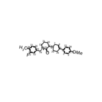 COc1ccc(C2=CCN(C3CCCN(Cc4ccc(C)c(F)c4)C3=O)CC2)cc1